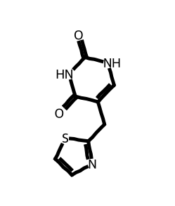 O=c1[nH]cc(Cc2nccs2)c(=O)[nH]1